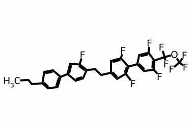 CCCc1ccc(-c2ccc(CCc3cc(F)c(-c4cc(F)c(C(F)(F)OC(F)(F)F)c(F)c4)c(F)c3)c(F)c2)cc1